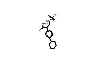 COC(=O)C(CNS(C)(=O)=O)c1ccc(C2CCCCC2)cc1